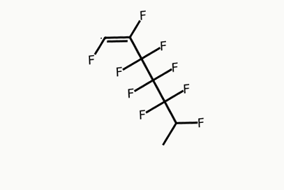 CC(F)C(F)(F)C(F)(F)C(F)(F)/C(F)=[C]\F